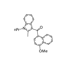 CCCn1c(C)c(C(=O)c2ccc(OC)c3ccccc23)c2ccccc21